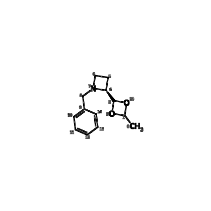 CC1OC([C@@H]2CCN2Cc2ccccc2)O1